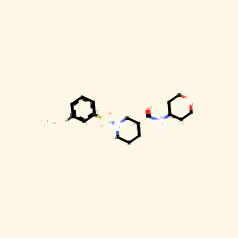 COc1cccc(S(=O)(=O)N2CCC[C@H](C(=O)NC3CCOCC3)C2)c1